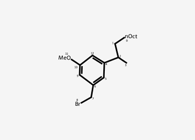 CCCCCCCCCC(C)c1cc(CBr)cc(OC)c1